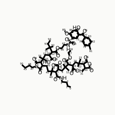 CCCCNC(=O)C(C(CC(C)(C)C(C(=O)OCC)C(CC(C)(C)C1C(=O)OC(=O)C1C)C(=O)O)C(=O)O)C(C)(C)CCC1C(=O)N(CCCC)C(=O)C1C(C)(C)CC(C(=O)O)C(C(=O)OCCNS(=O)(=O)c1cc(C(=O)c2ccc(C)cc2)c(O)cc1OC)C(C)(C)CC